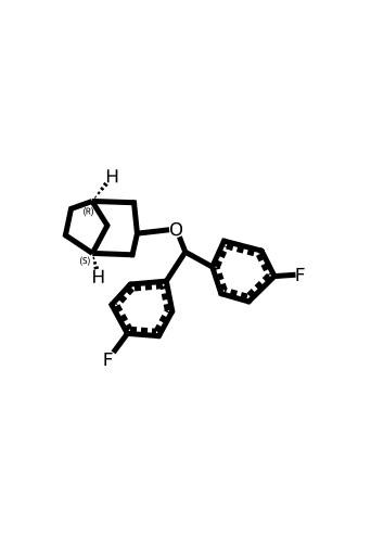 Fc1ccc(C(OC2C[C@H]3CC[C@@H](C2)C3)c2ccc(F)cc2)cc1